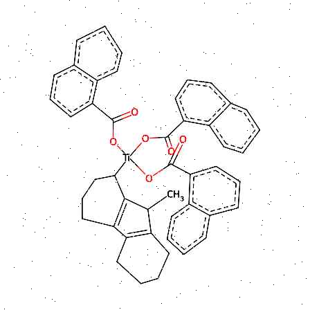 CC1C2=C(CCCC2)C2=C1[CH]([Ti]([O]C(=O)c1cccc3ccccc13)([O]C(=O)c1cccc3ccccc13)[O]C(=O)c1cccc3ccccc13)CCC2